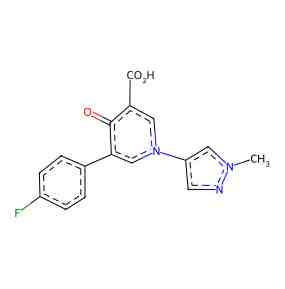 Cn1cc(-n2cc(C(=O)O)c(=O)c(-c3ccc(F)cc3)c2)cn1